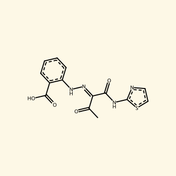 CC(=O)/C(=N\Nc1ccccc1C(=O)O)C(=O)Nc1nccs1